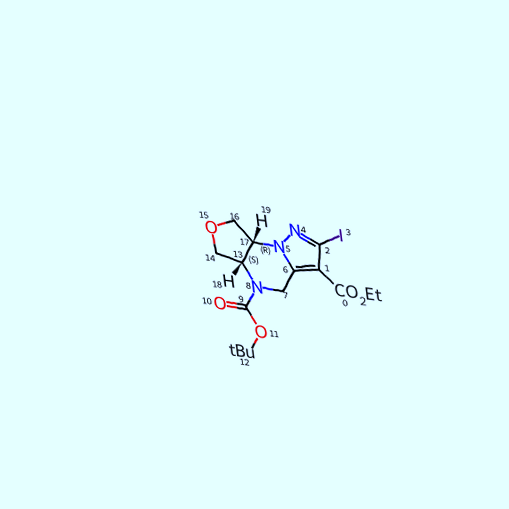 CCOC(=O)c1c(I)nn2c1CN(C(=O)OC(C)(C)C)[C@@H]1COC[C@@H]12